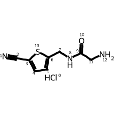 Cl.N#Cc1ccc(CNC(=O)CN)s1